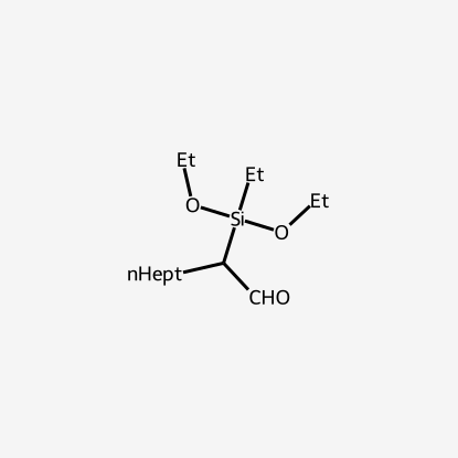 CCCCCCCC(C=O)[Si](CC)(OCC)OCC